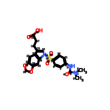 CN(C)C(=O)Nc1ccc(S(=O)(=O)n2cc(CCC(=O)O)c3cc4c(cc32)OCO4)cc1